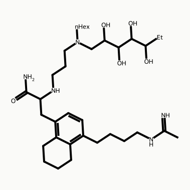 CCCCCCN(CCCNC(Cc1ccc(CCCCNC(C)=N)c2c1CCCC2)C(N)=O)CC(O)C(O)C(O)C(O)CC